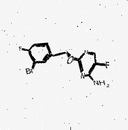 Nc1nc(OCc2ccc(F)c(Br)c2)ncc1F